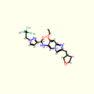 CCOc1cc2nc(CC3CCOC3)cn2cc1NC(=O)c1ccn(CC(F)(F)F)n1